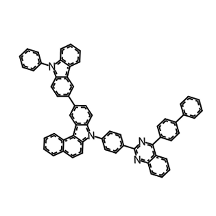 c1ccc(-c2ccc(-c3nc(-c4ccc(-n5c6ccc(-c7ccc8c(c7)c7ccccc7n8-c7ccccc7)cc6c6c7ccccc7ccc65)cc4)nc4ccccc34)cc2)cc1